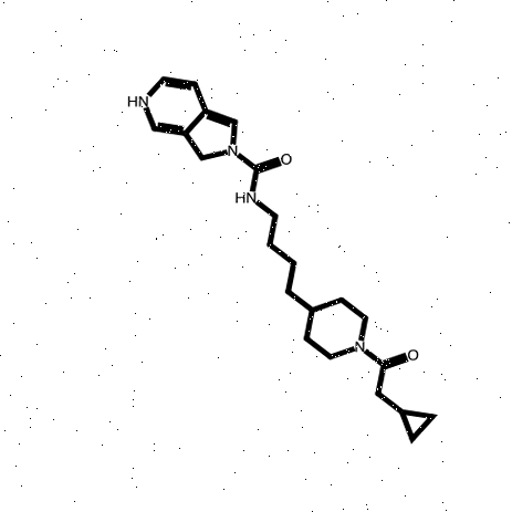 O=C(NCCCCC1CCN(C(=O)CC2CC2)CC1)N1C=C2C=CNC=C2C1